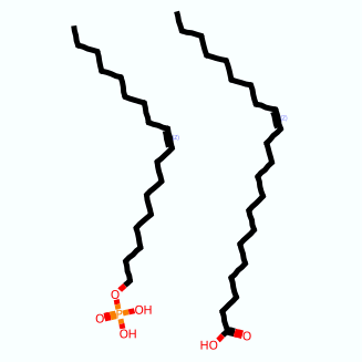 CCCCCCCC/C=C\CCCCCCCCCCCC(=O)O.CCCCCCCC/C=C\CCCCCCCCOP(=O)(O)O